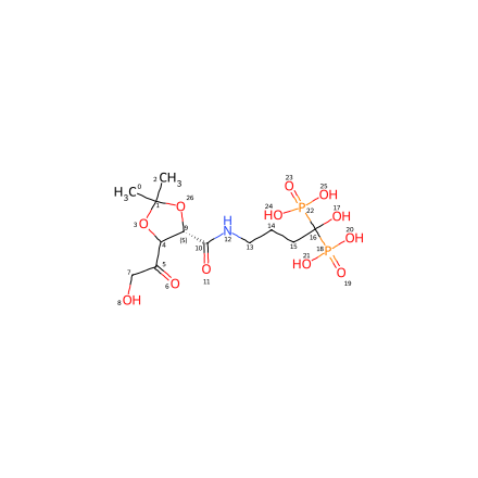 CC1(C)OC(C(=O)CO)[C@@H](C(=O)NCCCC(O)(P(=O)(O)O)P(=O)(O)O)O1